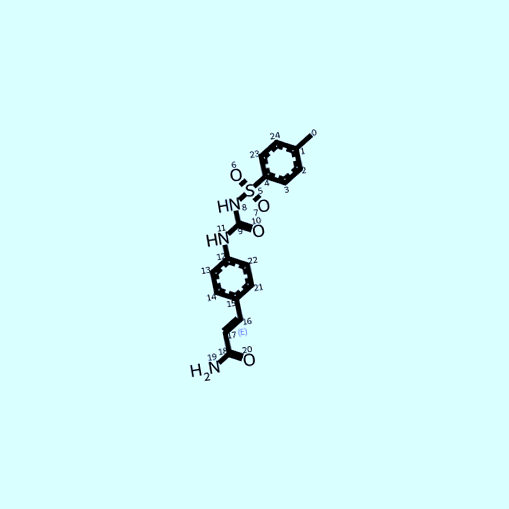 Cc1ccc(S(=O)(=O)NC(=O)Nc2ccc(/C=C/C(N)=O)cc2)cc1